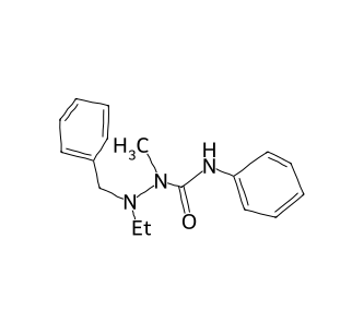 CCN(Cc1ccccc1)N(C)C(=O)Nc1ccccc1